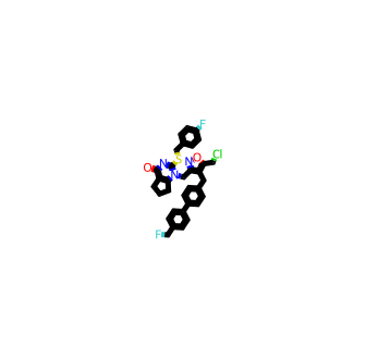 O=c1nc(SCc2ccc(F)cc2)n(Cc2noc(CCl)c2Cc2ccc(-c3ccc(CF)cc3)cc2)c2c1CCC2